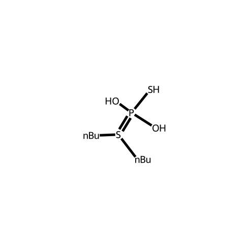 CCCCS(CCCC)=P(O)(O)S